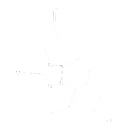 COc1nn(-c2c(Cl)cc(C(F)(F)F)cc2Cl)c(=O)n1CC=C=O